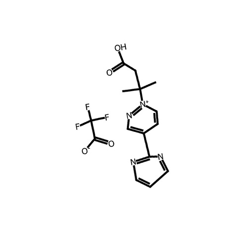 CC(C)(CC(=O)O)[n+]1ccc(-c2ncccn2)cn1.O=C([O-])C(F)(F)F